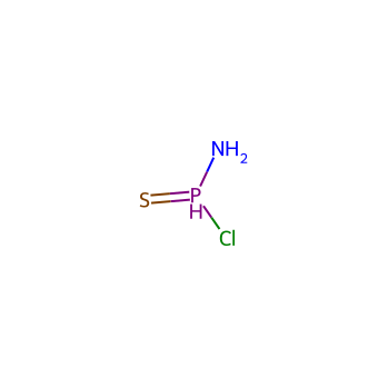 N[PH](=S)Cl